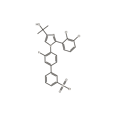 CCS(=O)(=O)c1cccc(-c2ccc(-n3cc(C(C)(C)O)nc3-c3cccc(Cl)c3Cl)c(F)c2)c1